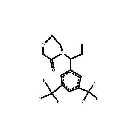 CCC(c1cc(C(F)(F)F)cc(C(F)(F)F)c1)N1CCOCC1=O